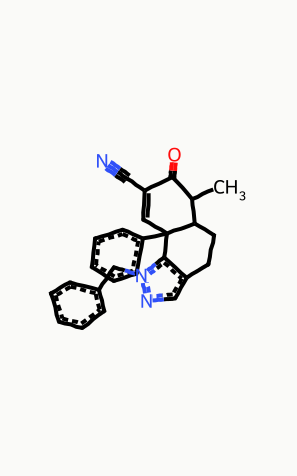 CC1C(=O)C(C#N)=CC2(c3ccccc3)c3c(cnn3Cc3ccccc3)CCC12